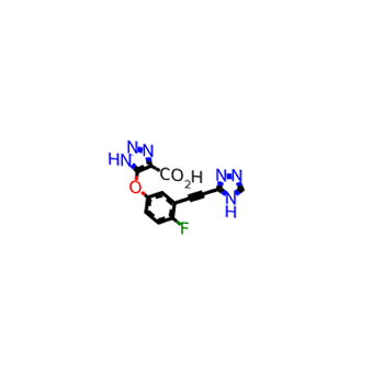 O=C(O)c1nn[nH]c1Oc1ccc(F)c(C#Cc2nnc[nH]2)c1